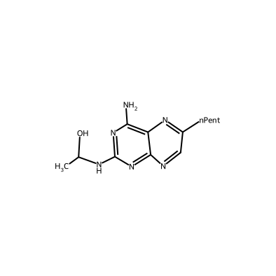 CCCCCc1cnc2nc(NC(C)O)nc(N)c2n1